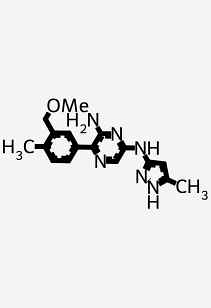 COCc1cc(-c2ncc(Nc3cc(C)[nH]n3)nc2N)ccc1C